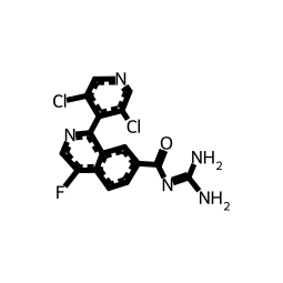 NC(N)=NC(=O)c1ccc2c(F)cnc(-c3c(Cl)cncc3Cl)c2c1